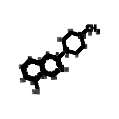 CN1CCN(c2cc3cccc(I)c3cn2)CC1